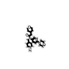 O=C(CC1CCOCC1)N(CC1CCNCC1)c1ccc(N2CCOCC2)nc1